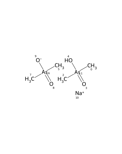 C[As](C)(=O)O.C[As](C)(=O)[O-].[Na+]